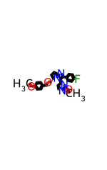 COc1ccc(COC[C@@H]2CCc3nc(-c4ccc(F)cc4)c(-c4ccnc(OC)n4)n32)cc1